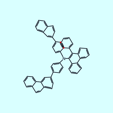 c1ccc(-c2c(N(c3ccc(-c4ccc5ccccc5c4)cc3)c3ccc(-c4ccc5ccc6ccccc6c5c4)cc3)c3ccccc3c3ccccc23)cc1